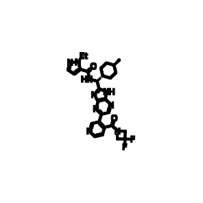 CCn1nccc1C(=O)NC(c1nc2nc(-c3cnccc3C(=O)N3CC(F)(F)C3)cnc2[nH]1)[C@H]1CC[C@H](C)CC1